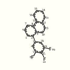 Fc1cc(-c2cccc3c2ccc2ccccc23)cc(F)c1F